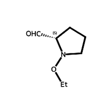 CCON1CCC[C@H]1C=O